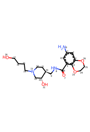 Nc1cc2c(c(C(=O)NC[C@@H]3CCN(CCCCO)C[C@H]3O)c1)OCCO2